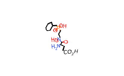 NC(CCC(=O)O)C(=O)N(O)CCCP(=O)(O)CC1CCCCC1